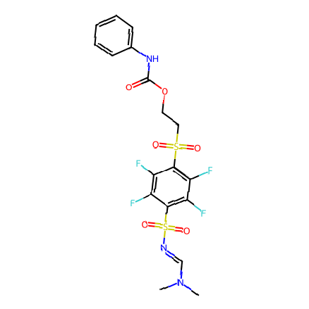 CN(C)C=NS(=O)(=O)c1c(F)c(F)c(S(=O)(=O)CCOC(=O)Nc2ccccc2)c(F)c1F